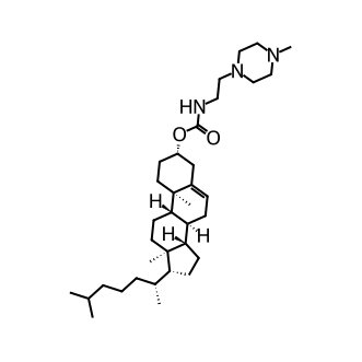 CC(C)CCC[C@@H](C)[C@H]1CC[C@H]2[C@@H]3CC=C4C[C@@H](OC(=O)NCCN5CCN(C)CC5)CC[C@]4(C)[C@H]3CC[C@]12C